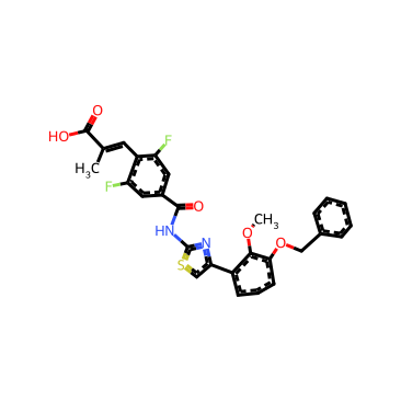 COc1c(OCc2ccccc2)cccc1-c1csc(NC(=O)c2cc(F)c(C=C(C)C(=O)O)c(F)c2)n1